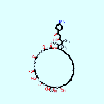 CC1/C=C/C=C/C=C/C=C/C=C/C=C/C=C/C(O)CC(O)C(C(=O)O)C(O)CC(=O)CC(O)CC(O)CCCC(=O)CCCC(=O)CC(=O)OC1C(C)CC(C)C(O)CC(=O)c1ccc(N)cc1